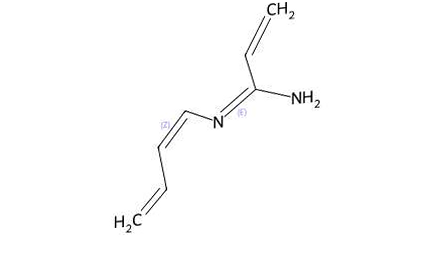 C=C/C=C\N=C(\N)C=C